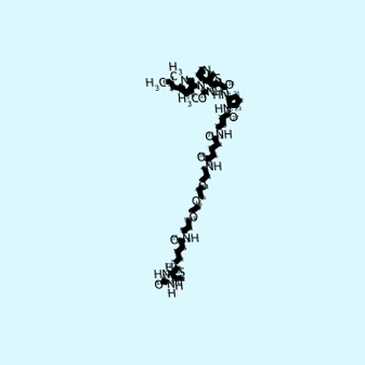 Cc1cc(CC(C)C)ncc1N1C(=O)Nc2c(C(=O)N[C@@H]3CCC[C@@H]3NC(=O)/C=C/CNC(=O)CCCC(=O)NCCCOCCOCCOCCCNC(=O)CCCC[C@@H]3SC[C@@H]4NC(=O)N[C@@H]43)sc3nccc1c23